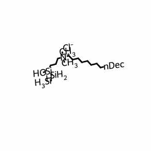 CCCCCCCCCCCCCCCCCC[N+](C)(C)CCC[SiH](O)[SiH2][SiH3].[Cl-]